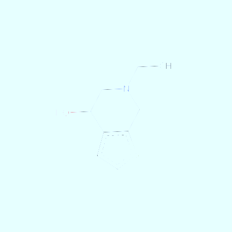 CCN1Cc2sccc2C(O)C1